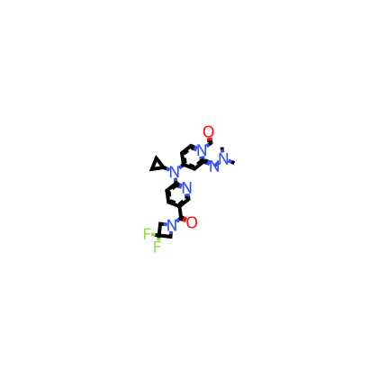 CN(C)/N=c1/cc(N(c2ccc(C(=O)N3CC(F)(F)C3)cn2)C2CC2)ccn1C=O